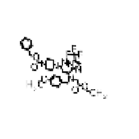 CCOC(=O)CN(Cc1ccc(OC)cc1)c1cc(N2CCN(C(=O)OCc3ccccc3)CC2)nn2c(C(F)(F)F)cnc12